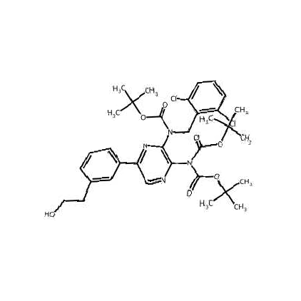 CC(C)(C)OC(=O)N(Cc1c(Cl)cccc1Cl)c1nc(-c2cccc(CCO)c2)cnc1N(C(=O)OC(C)(C)C)C(=O)OC(C)(C)C